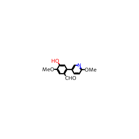 COc1ccc(-c2cc(O)c(OC)cc2C=O)cn1